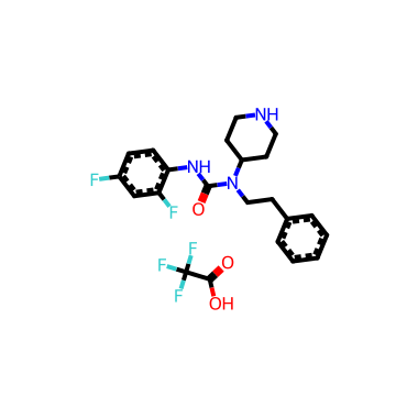 O=C(Nc1ccc(F)cc1F)N(CCc1ccccc1)C1CCNCC1.O=C(O)C(F)(F)F